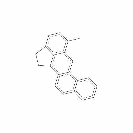 Cc1ccc2c3c(c4ccc5ccccc5c4cc13)CC2